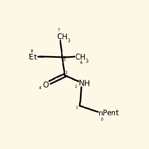 CCCCCCNC(=O)C(C)(C)CC